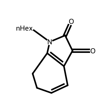 CCCCCCN1C(=O)C(=O)C2=C1CCC=C2